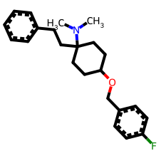 CN(C)C1(CCc2ccccc2)CCC(OCc2ccc(F)cc2)CC1